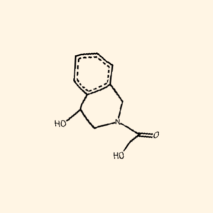 O=C(O)N1Cc2ccccc2C(O)C1